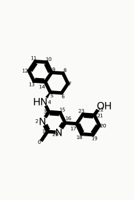 Cc1nc(N[C@@H]2CCCc3ccccc32)cc(-c2cccc(O)c2)n1